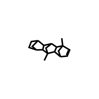 CC12C=CC(C1)C1C2C2CC1(C)C1C3CCC(C3)C21